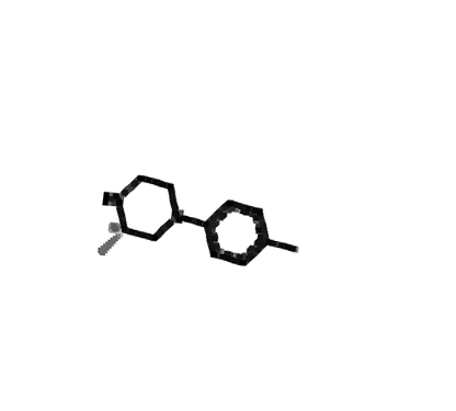 Cc1ccc(N2CCN[C@@H](C)C2)cc1